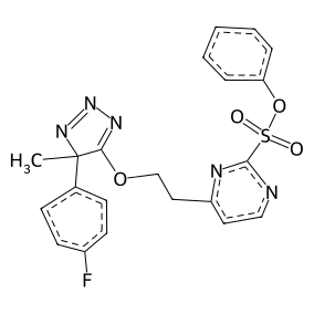 CC1(c2ccc(F)cc2)N=NN=C1OCCc1ccnc(S(=O)(=O)Oc2ccccc2)n1